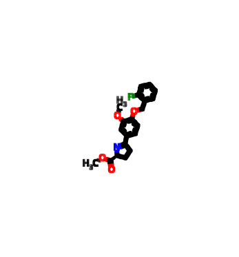 COC(=O)[C@@H]1CCC(c2ccc(OCc3ccccc3F)c(OC)c2)=N1